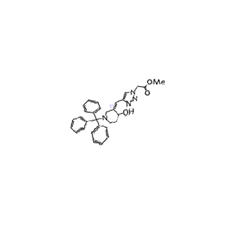 COC(=O)Cn1cc(/C=C2/CN(C(c3ccccc3)(c3ccccc3)c3ccccc3)CCC2O)nn1